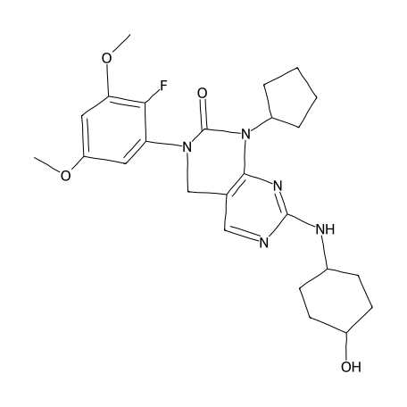 COc1cc(OC)c(F)c(N2Cc3cnc(NC4CCC(O)CC4)nc3N(C3CCCC3)C2=O)c1